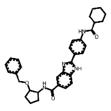 O=C(NC1CCCC1OCc1ccccc1)c1ccc2[nH]c(-c3ccc(NC(=O)C4CCCCC4)cc3)nc2c1